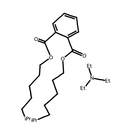 CC(C)CCCCCOC(=O)c1ccccc1C(=O)OCCCCCC(C)C.CCN(CC)CC